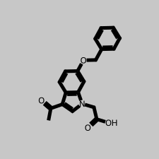 CC(=O)c1cn(CC(=O)O)c2cc(OCc3ccccc3)ccc12